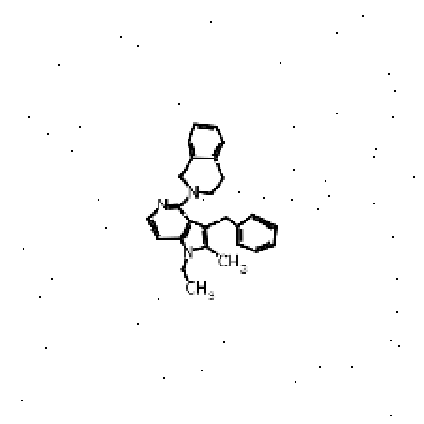 CCn1c(C)c(Cc2ccccc2)c2c(N3CCc4ccccc4C3)nccc21